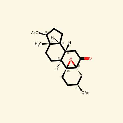 CC(=O)O[C@H]1CC[C@@]23O[C@@]2(C1)C(=O)C[C@H]1[C@@H]2CC[C@H](OC(C)=O)[C@@]2(C)CC[C@@H]13